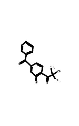 CC(C)c1cc(C(=O)c2ccccc2)ccc1C(=O)C(C)(C)O